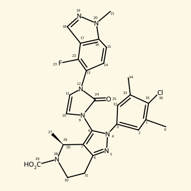 Cc1cc(-n2nc3c(c2-n2ccn(-c4ccc5c(cnn5C)c4F)c2=O)[C@H](C)N(C(=O)O)CC3)cc(C)c1Cl